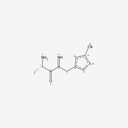 C[C@H](N)C(=O)C(=N)Cc1csc(C#N)c1